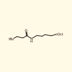 CCCCCCCCCCCCNC(=O)CCC(C)(C)C